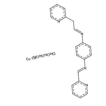 C(Cc1ccccn1)=Nc1ccc(N=Cc2ccccn2)cc1.Cl.Cl.Cl.Cl.[Cu].[Cu]